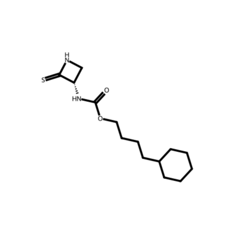 O=C(N[C@H]1CNC1=S)OCCCCC1CCCCC1